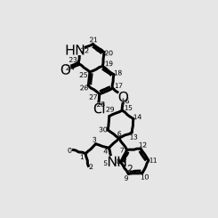 CC(C)CC(N)C1(c2ccccc2)CCC(Oc2cc3cc[nH]c(=O)c3cc2Cl)CC1